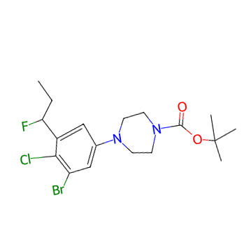 CCC(F)c1cc(N2CCN(C(=O)OC(C)(C)C)CC2)cc(Br)c1Cl